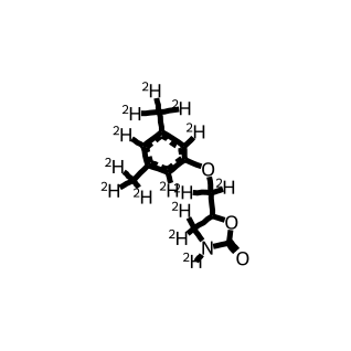 [2H]c1c(OC([2H])([2H])C2OC(=O)N([2H])C2([2H])[2H])c([2H])c(C([2H])([2H])[2H])c([2H])c1C([2H])([2H])[2H]